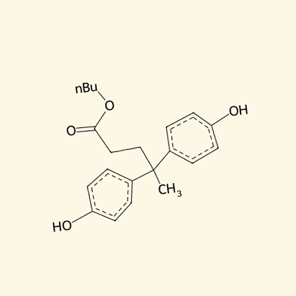 CCCCOC(=O)CCC(C)(c1ccc(O)cc1)c1ccc(O)cc1